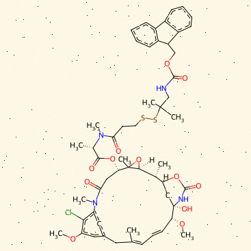 COc1cc2cc(c1Cl)N(C)C(=O)C[C@H](OC(=O)[C@H](C)N(C)C(=O)CCSSC(C)(C)CNC(=O)OCC1c3ccccc3-c3ccccc31)C1(C)O[C@H]1[C@H](C)[C@@H]1C[C@@](O)(NC(=O)O1)[C@H](OC)/C=C/C=C(\C)C2